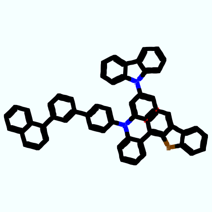 c1cc(-c2ccc(N(c3cccc(-n4c5ccccc5c5ccccc54)c3)c3ccccc3-c3cccc4c3sc3ccccc34)cc2)cc(-c2cccc3ccccc23)c1